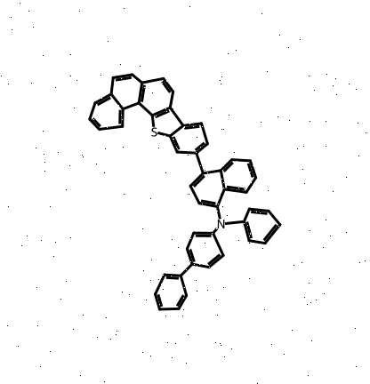 c1ccc(-c2ccc(N(c3ccccc3)c3ccc(-c4ccc5c(c4)sc4c5ccc5ccc6ccccc6c54)c4ccccc34)cc2)cc1